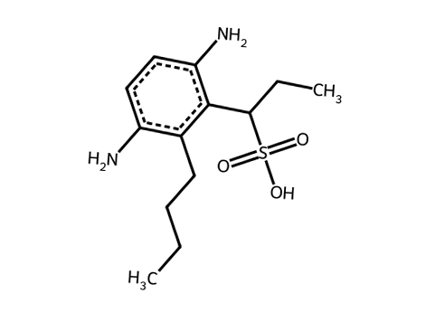 CCCCc1c(N)ccc(N)c1C(CC)S(=O)(=O)O